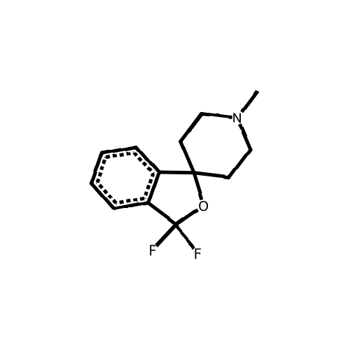 CN1CCC2(CC1)OC(F)(F)c1ccccc12